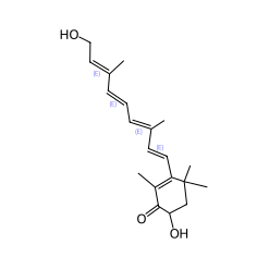 CC1=C(/C=C/C(C)=C/C=C/C(C)=C/CO)C(C)(C)CC(O)C1=O